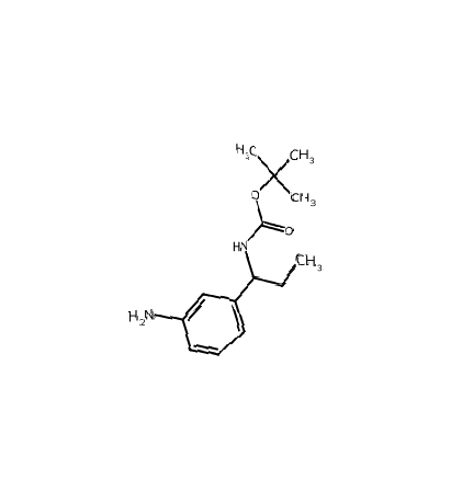 CCC(NC(=O)OC(C)(C)C)c1cccc(N)c1